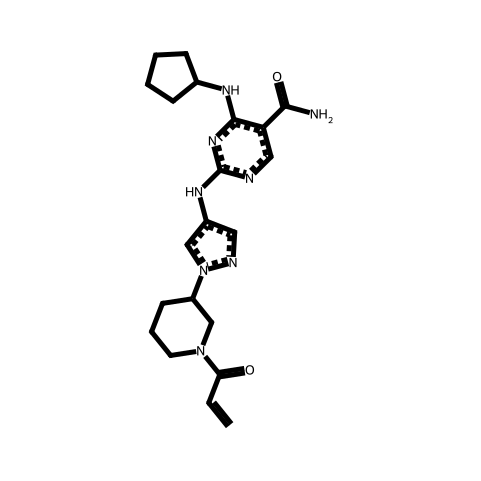 C=CC(=O)N1CCCC(n2cc(Nc3ncc(C(N)=O)c(NC4CCCC4)n3)cn2)C1